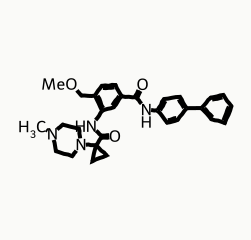 COCc1ccc(C(=O)Nc2ccc(-c3ccccc3)cc2)cc1NC(=O)C1(N2CCN(C)CC2)CC1